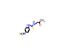 CC(=O)CCNC(=S)Nc1ccc(N=C=S)cc1